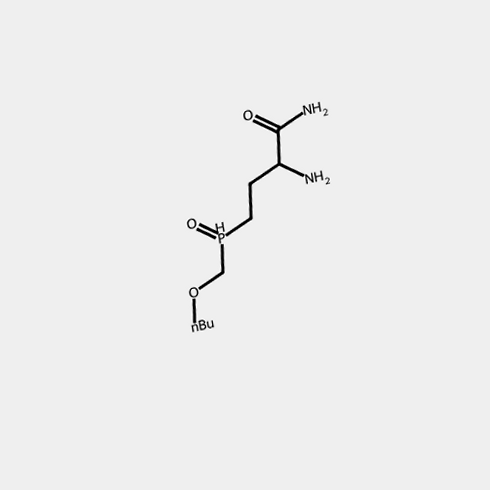 CCCCOC[PH](=O)CCC(N)C(N)=O